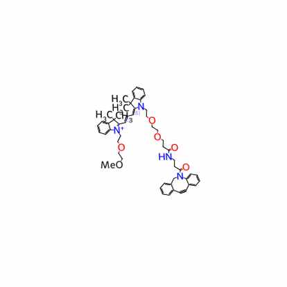 COCCOCC[N+]1=C(/C=C/C=C2/N(CCOCCOCCC(=O)NCCC(=O)N3Cc4ccccc4C#Cc4ccccc43)c3ccccc3C2(C)C)C(C)(C)c2ccccc21